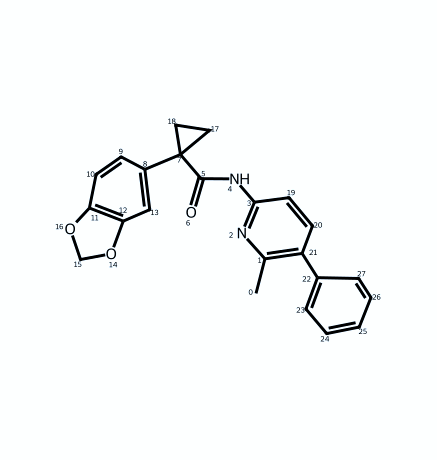 Cc1nc(NC(=O)C2(c3ccc4c(c3)OCO4)CC2)ccc1-c1ccccc1